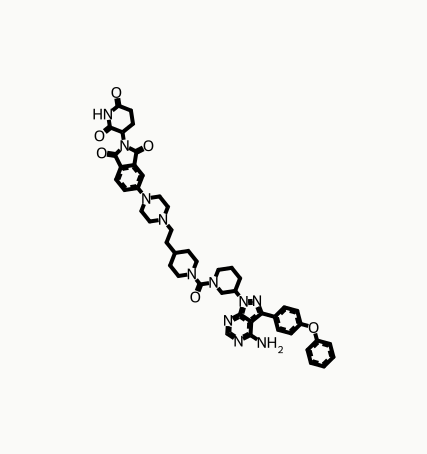 Nc1ncnc2c1c(-c1ccc(Oc3ccccc3)cc1)nn2C1CCCN(C(=O)N2CCC(CCN3CCN(c4ccc5c(c4)C(=O)N(C4CCC(=O)NC4=O)C5=O)CC3)CC2)C1